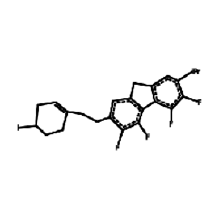 CC(C)c1cc2c(c(F)c1F)-c1c(cc(CCC3=CCC(I)CC3)c(F)c1F)C2